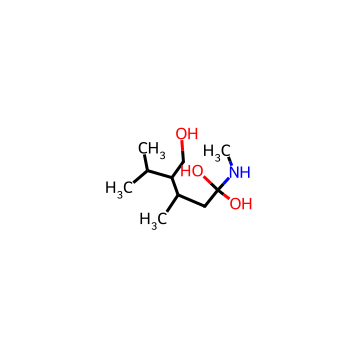 CNC(O)(O)CC(C)C(CO)C(C)C